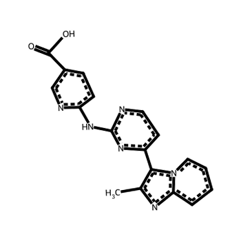 Cc1nc2ccccn2c1-c1ccnc(Nc2ccc(C(=O)O)cn2)n1